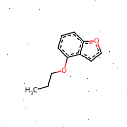 CCCOc1cccc2occc12